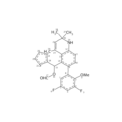 COc1c(F)cc(F)cc1-c1ccc2c(c1C(OC=O)c1cccs1)C(C)=CC(C)(C)N2